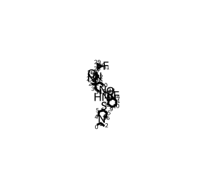 CC(C)N1CCC(S[C@H]2CCCC(F)(F)[C@@H]2NC(=O)N2CCC(C)(c3noc([C@@H]4C[C@@H]4F)n3)CC2)CC1